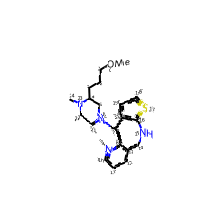 COCCCC1CN(C2=c3ncccc3=CNc3sccc32)CCN1C